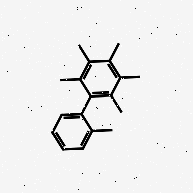 Cc1ccccc1-c1c(C)c(C)c(C)c(C)c1C